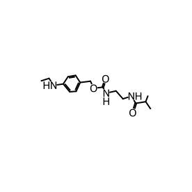 CCNc1ccc(COC(=O)NCCNC(=O)C(C)C)cc1